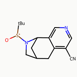 CC(C)(C)[S+]([O-])N1CC2Cc3c(C#N)cncc3C1C2